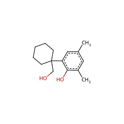 Cc1cc(C)c(O)c(C2(CO)CCCCC2)c1